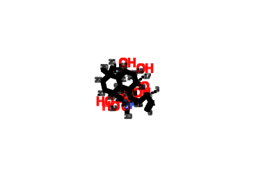 C=C[C@@]1(C)CC(=O)[C@]2(O)[C@]3(C)[C@@H]([C@H](O)[C@H](O)[C@@]2(C)O1)C(C)(C)CC[C@@]3(O)C(O)(O)N(C)C